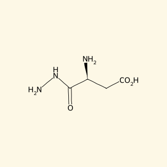 NNC(=O)[C@@H](N)CC(=O)O